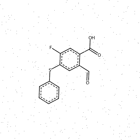 O=Cc1cc(Sc2ccccc2)c(F)cc1C(=O)O